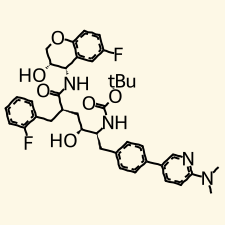 CN(C)c1ccc(-c2ccc(C[C@H](NC(=O)OC(C)(C)C)[C@@H](O)C[C@@H](Cc3ccccc3F)C(=O)N[C@H]3c4cc(F)ccc4OC[C@H]3O)cc2)cn1